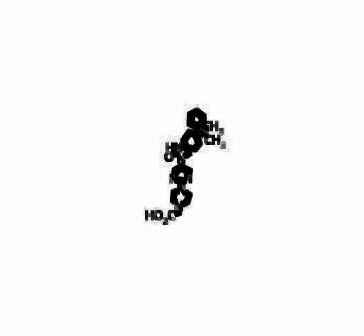 CN(C)C1(c2ccccc2)CCC2(CC1)CN(c1cnc(N3CCN(CC(=O)O)CC3)nc1)C(=O)N2